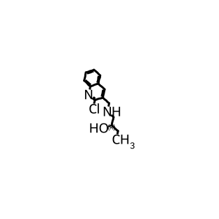 CC[C@@H](O)CNCc1cc2ccccc2nc1Cl